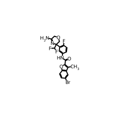 Cc1c(C(=O)Nc2ccc(F)c(C3(C(F)F)COCC(N)=N3)c2)oc2ccc(Br)cc12